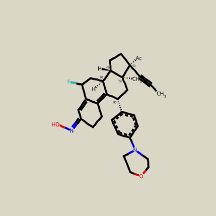 CC#C[C@]1(C(C)=O)CC[C@H]2[C@@H]3CC(F)C4=CC(=NO)CCC4=C3[C@@H](c3ccc(N4CCOCC4)cc3)C[C@@]21C